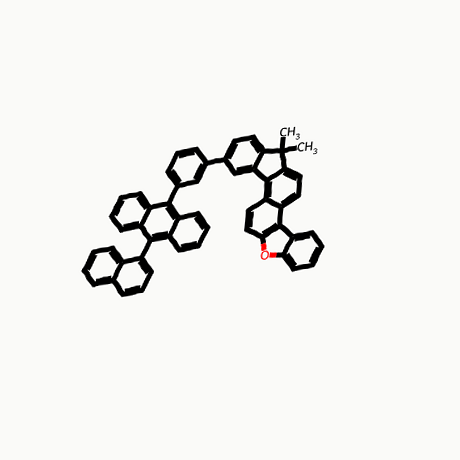 CC1(C)c2ccc(-c3cccc(-c4c5ccccc5c(-c5cccc6ccccc56)c5ccccc45)c3)cc2-c2c1ccc1c2ccc2oc3ccccc3c21